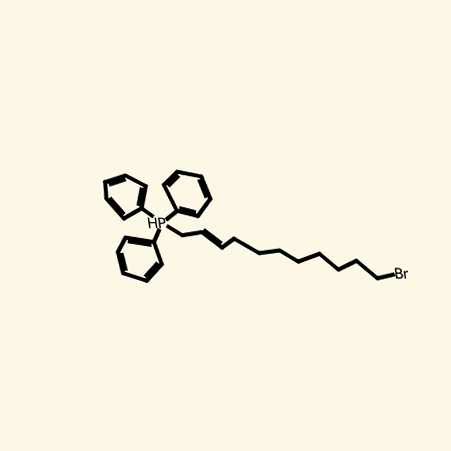 BrCCCCCCCCC=CC[PH](c1ccccc1)(c1ccccc1)c1ccccc1